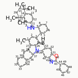 Cc1cc(-c2ccccc2Nc2ccc3c(c2)C(C)(C)CCC3(C)C)c2c3c1c1cc4ccccc4cc1n3-c1cc3nc(-c4ccccc4)oc3cc1B2